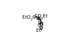 CCOC(=O)CC(C(=O)OCC)N1CCN(CC2CN(CC3CCN(CC)CC3)C(=O)O2)CC1